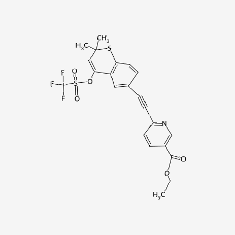 CCOC(=O)c1ccc(C#Cc2ccc3c(c2)C(OS(=O)(=O)C(F)(F)F)=CC(C)(C)S3)nc1